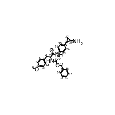 COc1ccc(CC(NC(=O)OCc2ccccc2)C(=O)Nc2ccc(C3CC3N)cc2)cc1